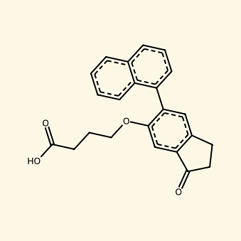 O=C(O)CCCOc1cc2c(cc1-c1cccc3ccccc13)CCC2=O